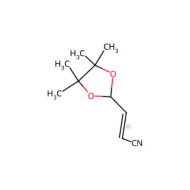 CC1(C)OC(/C=C/C#N)OC1(C)C